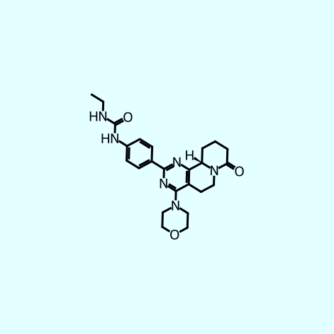 CCNC(=O)Nc1ccc(-c2nc3c(c(N4CCOCC4)n2)CCN2C(=O)CCC[C@@H]32)cc1